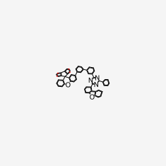 c1ccc(-c2nc(-c3cccc(-c4cccc(-c5ccc6c(c5)C5(c7ccccc7O6)c6ccccc6-c6ccccc65)c4)c3)nc(-c3cccc4oc5ccccc5c34)n2)cc1